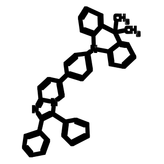 CC1(C)c2ccccc2N(c2ccc(-c3ccc4nc(-c5ccccc5)c(-c5ccccc5)n4c3)cc2)c2ccccc21